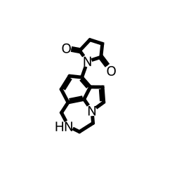 O=C1CCC(=O)N1c1ccc2c3c1ccn3CCNC2